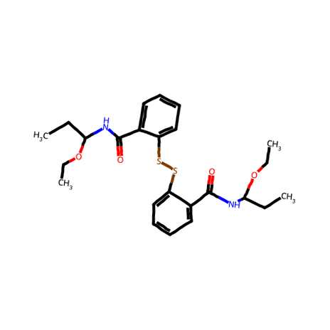 CCOC(CC)NC(=O)c1ccccc1SSc1ccccc1C(=O)NC(CC)OCC